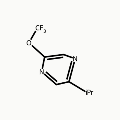 CC(C)c1cnc(OC(F)(F)F)cn1